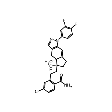 C[C@]12Cc3cnn(-c4ccc(F)c(F)c4)c3C=C1CC[C@@]2(O)CCc1cc(Cl)ccc1C(N)=O